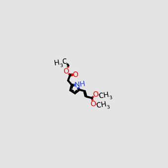 CCOC(=O)Cc1ccc(C=CC(OC)OC)[nH]1